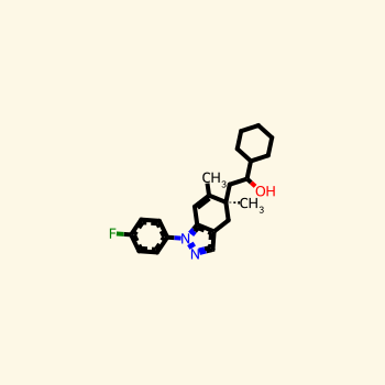 CC1=Cc2c(cnn2-c2ccc(F)cc2)C[C@]1(C)CC(O)C1CCCCC1